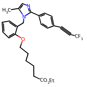 CCOC(=O)CCCCCOc1ccccc1Cn1c(C)cnc1-c1ccc(C#CC(F)(F)F)cc1